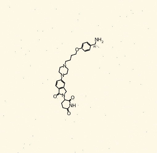 C[C@@H](N)c1ccc(OCCCCN2CCN(c3ccc4c(c3)CN(C3CCC(=O)NC3=O)C4=O)CC2)cc1